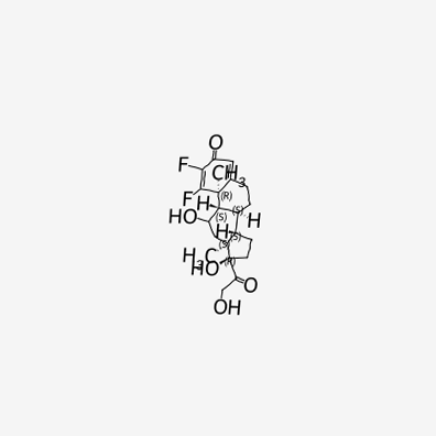 C[C@@]12C(=CC(=O)C(F)=C1F)CC[C@@H]1[C@@H]2C(O)C[C@@]2(C)[C@H]1CC[C@]2(O)C(=O)CO